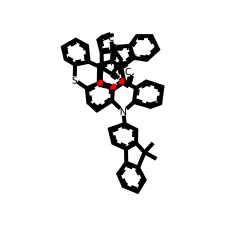 CC1(C)c2ccccc2-c2ccc(N(c3ccc4c(c3)C3(c5ccccc5S4)c4ccccc4-c4ccccc43)c3ccccc3-c3cccc4oc5ccccc5c34)cc21